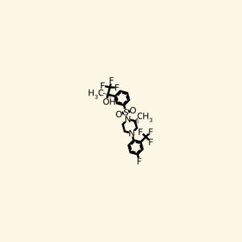 C[C@@H]1CN(c2ccc(F)cc2C(F)(F)F)CCN1S(=O)(=O)c1cccc([C@@](C)(O)C(F)(F)F)c1